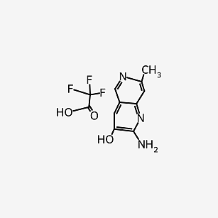 Cc1cc2nc(N)c(O)cc2cn1.O=C(O)C(F)(F)F